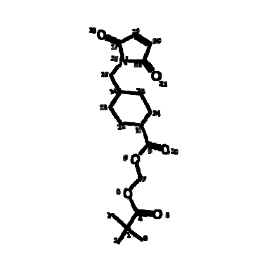 CC(C)(C)C(=O)OCOC(=O)C1CCC(CN2C(=O)C=CC2=O)CC1